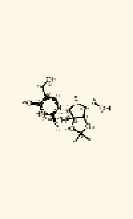 CC1(C)OC2[C@@H](CO)O[C@@H](n3cc(CO)c(=O)[nH]c3=S)[C@H]2O1